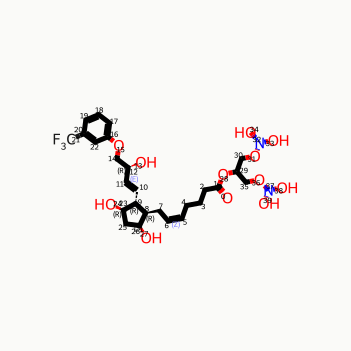 O=C(CCC/C=C\C[C@@H]1[C@@H](/C=C/[C@@H](O)COc2cccc(C(F)(F)F)c2)[C@H](O)C[C@@H]1O)OC(CON(O)O)CON(O)O